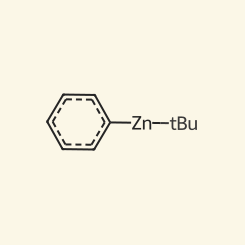 C[C](C)(C)[Zn][c]1ccccc1